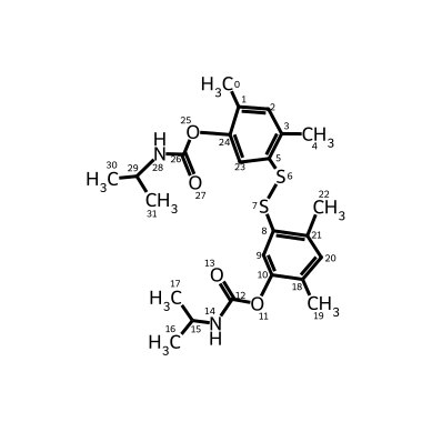 Cc1cc(C)c(SSc2cc(OC(=O)NC(C)C)c(C)cc2C)cc1OC(=O)NC(C)C